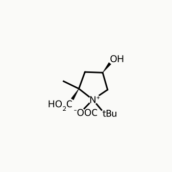 CC(C)(C)[N+]1(C(=O)[O-])C[C@H](O)C[C@]1(C)C(=O)O